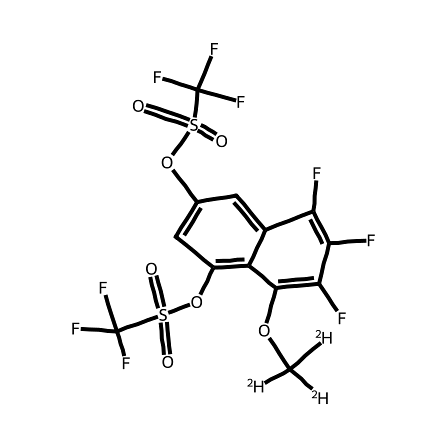 [2H]C([2H])([2H])Oc1c(F)c(F)c(F)c2cc(OS(=O)(=O)C(F)(F)F)cc(OS(=O)(=O)C(F)(F)F)c12